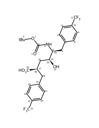 CC(C)(C)OC(=O)N[C@@H](Cc1ccc(C(F)(F)F)cc1)[C@@H](O)C[C@@H](Cc1ccc(C(F)(F)F)cc1)C(=O)O